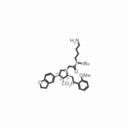 CCCCN(CCCCN)C(=O)CN1C[C@H](c2ccc3c(c2)CCO3)[C@@H](C(=O)O)[C@@H]1CCc1ccccc1OC